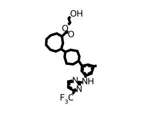 Cc1cc(Nc2nccc(C(F)(F)F)n2)cc(C2CCCC(C3CCCCCCC(C(=O)OCCO)C3)CCC2)c1